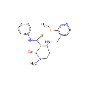 COc1cnccc1CNC1=C(C(=S)Nc2ccccc2)C(=O)N(C)CC1